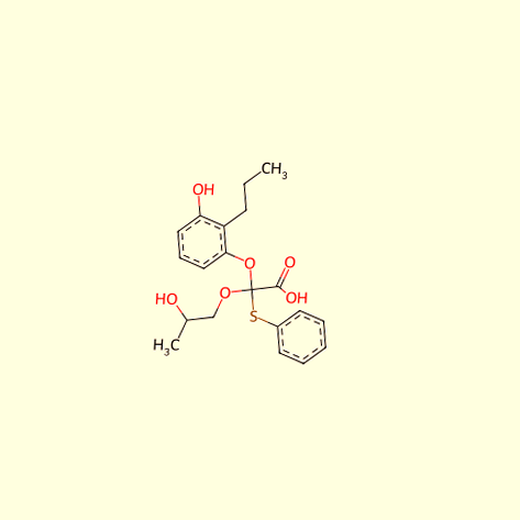 CCCc1c(O)cccc1OC(OCC(C)O)(Sc1ccccc1)C(=O)O